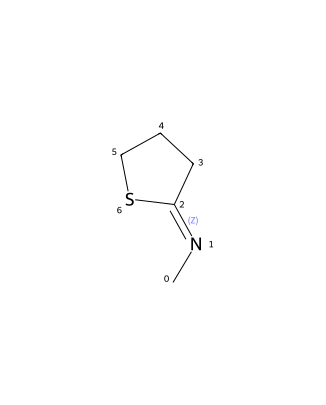 C/N=C1/CCCS1